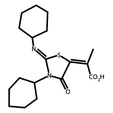 CC(C(=O)O)=C1SC(=NC2CCCCC2)N(C2CCCCC2)C1=O